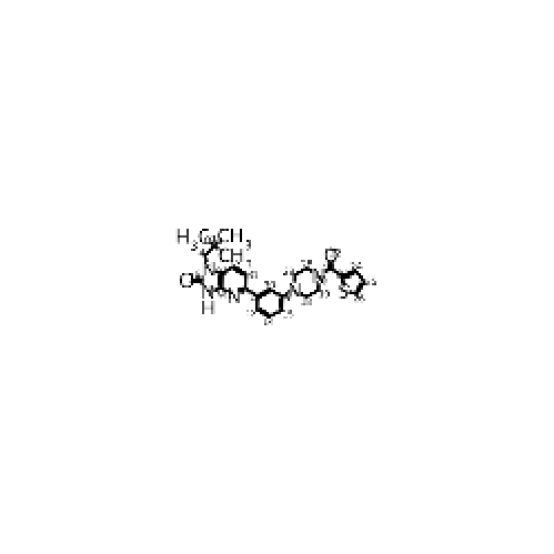 CC(C)(C)Cn1c(=O)[nH]c2nc(-c3cccc(N4CCN(C(=O)c5cccs5)CC4)c3)ccc21